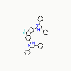 FC1(F)c2ccc(-c3nc(-c4ccccc4)cc(-c4ccccc4)n3)cc2-c2cc(-c3nc(-c4ccccc4)cc(-c4ccccc4)n3)ccc21